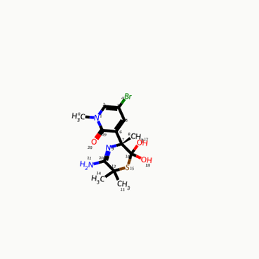 Cn1cc(Br)cc([C@@]2(C)N=C(N)C(C)(C)SC2(O)O)c1=O